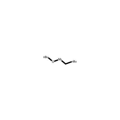 CCCC[CH2][Nb][O]CCCC